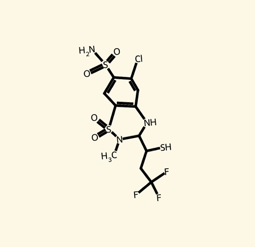 CN1C(C(S)CC(F)(F)F)Nc2cc(Cl)c(S(N)(=O)=O)cc2S1(=O)=O